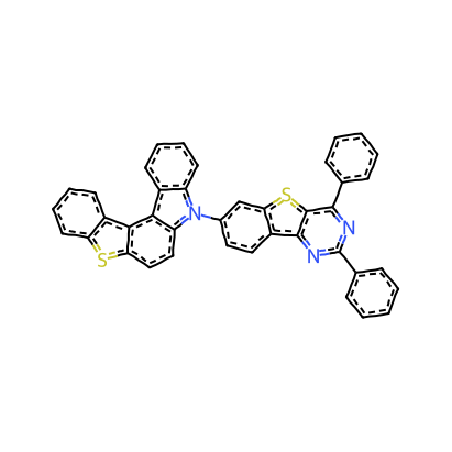 c1ccc(-c2nc(-c3ccccc3)c3sc4cc(-n5c6ccccc6c6c7c(ccc65)sc5ccccc57)ccc4c3n2)cc1